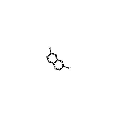 CCc1cnc2cnc(Cl)cc2c1